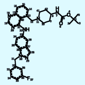 CC(C)(C)OC(=O)NC1CCN(Cc2cccc3ncnc(Nc4ccc5c(cnn5Cc5cccc(F)c5)c4)c23)CC1